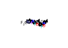 O=C(O)[C@@H]1CC2(CC2)CN1C(=O)c1cc(C2CC2)c(OCC2(F)CCN(CC3C/C=C/C(C(F)(F)F)=C\C=C/3I)CC2)cc1F